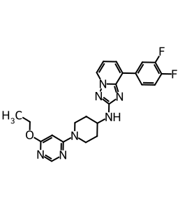 CCOc1cc(N2CCC(Nc3nc4c(-c5ccc(F)c(F)c5)cccn4n3)CC2)ncn1